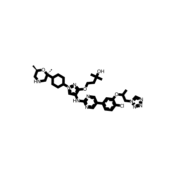 CC(Cn1cnnn1)Oc1cc(-c2cnc(Nc3cn(C4CCC([C@@]5(C)CNC[C@@H](C)O5)CC4)nc3OCCC(C)(C)O)nc2)ccc1Cl